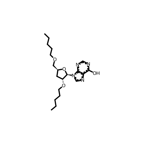 CCCCCOC[C@@H]1C[C@@H](OCCCCC)[C@H](n2cnc3c(O)ncnc32)O1